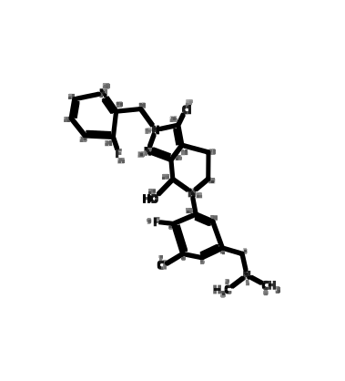 CN(C)Cc1cc(Cl)c(F)c(N2CCc3c(nn(Cc4ncccc4F)c3Cl)C2O)c1